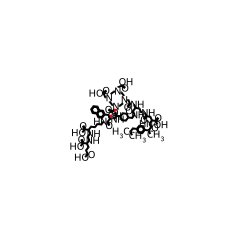 CC(C)Cc1ccc(C(C)C(=O)NC(CC(=O)NCCC(NC(=O)CN2CCN(CC(=O)O)CCN(CC(=O)O)CCN(CC(=O)O)CC2)C(=O)NCC2CCC(C(=O)NC(Cc3ccc4ccccc4c3)C(=O)NCCCCC(NCNC(CCC(=O)O)C(=O)O)C(=O)O)CC2)C(=O)O)cc1